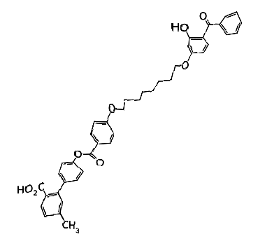 Cc1ccc(C(=O)O)c(-c2ccc(OC(=O)c3ccc(OCCCCCCCCOc4ccc(C(=O)c5ccccc5)c(O)c4)cc3)cc2)c1